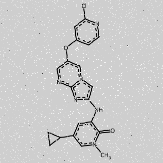 Cn1cc(C2CC2)cc(Nc2cn3cc(Oc4ccnc(Cl)c4)cnc3n2)c1=O